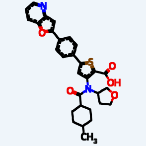 CC1CCC(C(=O)N(c2cc(-c3ccc(-c4cc5ncccc5o4)cc3)sc2C(=O)O)C2CCOC2)CC1